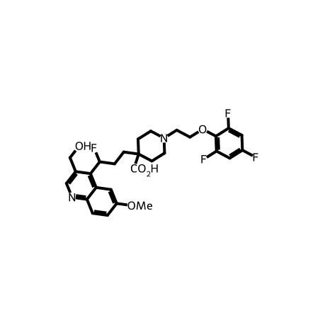 COc1ccc2ncc(CO)c(C(F)CCC3(C(=O)O)CCN(CCOc4c(F)cc(F)cc4F)CC3)c2c1